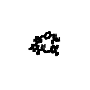 COc1cc(CNC(=O)c2cc(-c3noc(C[C@H]4CC[C@H](NC(=O)O)CC4)n3)nc(C)n2)ccc1F